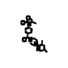 Cc1cnc(N2CCN(C(=O)c3ccc(N4C(=O)OCC4C)cc3)CC2)c(C)c1